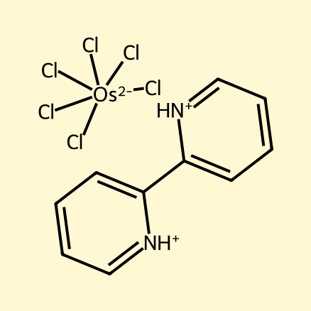 [Cl][Os-2]([Cl])([Cl])([Cl])([Cl])[Cl].c1ccc(-c2cccc[nH+]2)[nH+]c1